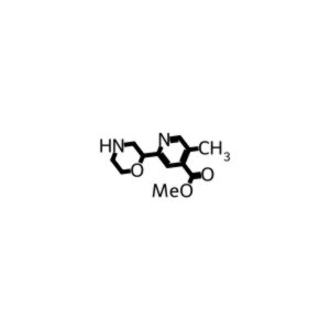 COC(=O)c1cc(C2CNCCO2)ncc1C